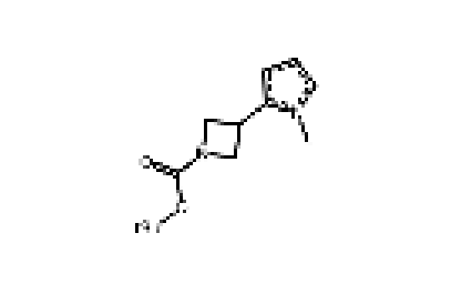 Cn1cccc1C1CN(C(=O)OC(C)(C)C)C1